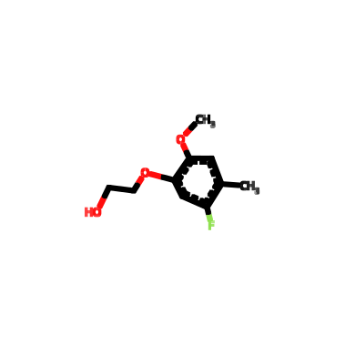 COc1cc(C)c(F)cc1OCCO